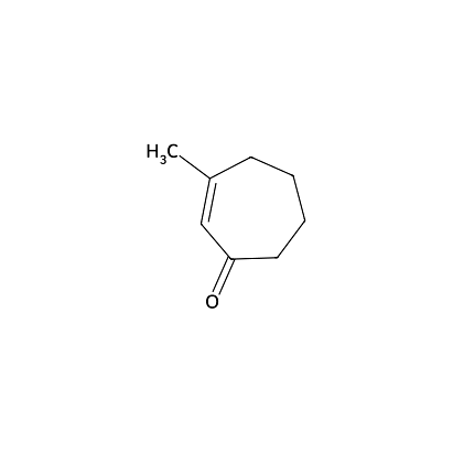 CC1=CC(=O)CCCC1